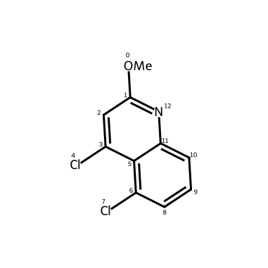 COc1cc(Cl)c2c(Cl)cccc2n1